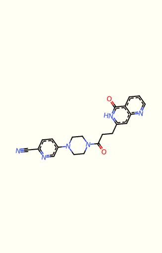 N#Cc1ccc(N2CCN(C(=O)CCc3cc4ncccc4c(=O)[nH]3)CC2)cn1